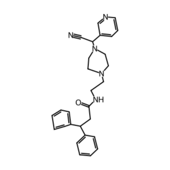 N#CC(c1cccnc1)N1CCN(CCNC(=O)CC(c2ccccc2)c2ccccc2)CC1